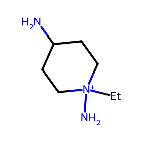 CC[N+]1(N)CCC(N)CC1